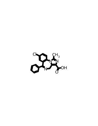 Cc1nc(C(=O)O)c2n1-c1ccc(Cl)cc1C(c1ccccc1)=NC2